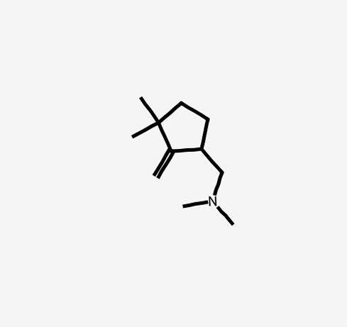 C=C1C(CN(C)C)CCC1(C)C